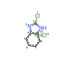 Cl.Clc1nc2ccccc2[nH]1